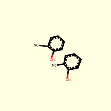 N#Cc1ccccc1O.N#Cc1ccccc1O